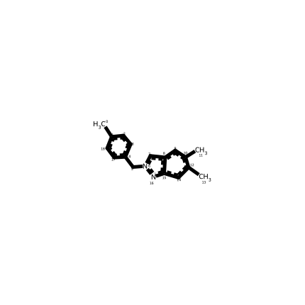 Cc1ccc(Cn2cc3cc(C)c(C)cc3n2)cc1